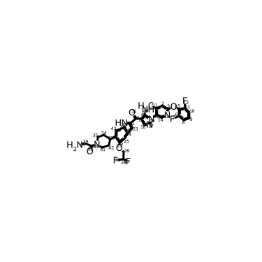 Cc1cc(Oc2c(F)cccc2F)ncc1-n1ncc(C(=O)c2cc3cc(OCC(F)F)c(C4CCN(C(=O)CN)CC4)cc3[nH]2)c1N